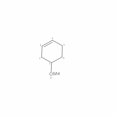 COC1C[C]=CCC1